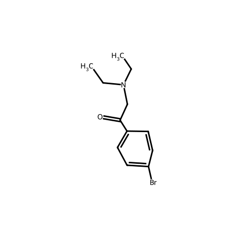 CCN(CC)CC(=O)c1ccc(Br)cc1